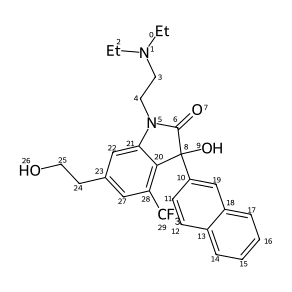 CCN(CC)CCN1C(=O)C(O)(c2ccc3ccccc3c2)c2c1cc(CCO)cc2C(F)(F)F